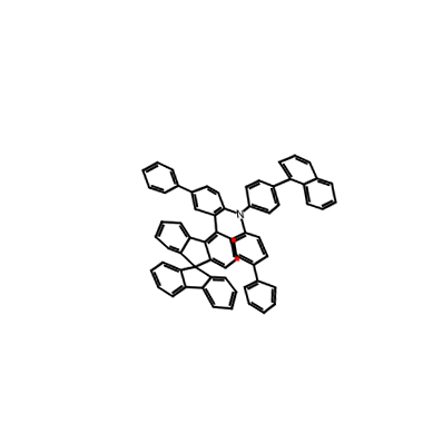 c1ccc(-c2ccc(N(c3ccc(-c4cccc5ccccc45)cc3)c3ccc(-c4ccccc4)cc3-c3cccc4c3-c3ccccc3C43c4ccccc4-c4ccccc43)cc2)cc1